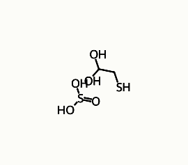 O=S(O)O.OC(O)CS